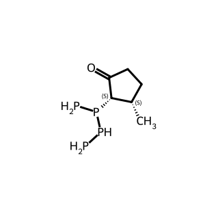 C[C@H]1CCC(=O)[C@H]1P(P)PP